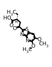 CC[C@H](CC(=O)c1nc2nc(OC)c(OC)cc2s1)C(=O)O